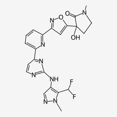 CN1CCC(O)(c2cc(-c3cccc(-c4ccnc(Nc5cnn(C)c5C(F)F)n4)n3)no2)C1=O